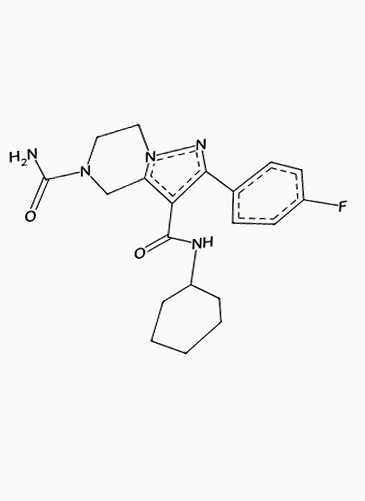 NC(=O)N1CCn2nc(-c3ccc(F)cc3)c(C(=O)NC3CCCCC3)c2C1